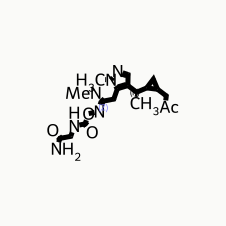 CN/C(Cc1c([C@H](C)C2CC2CC(C)=O)cnn1C)=N\OC(=O)NCC(N)=O